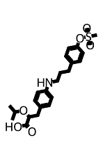 CC(C)OC(Cc1ccc(NCCCc2ccc(OS(C)(=O)=O)cc2)cc1)C(=O)O